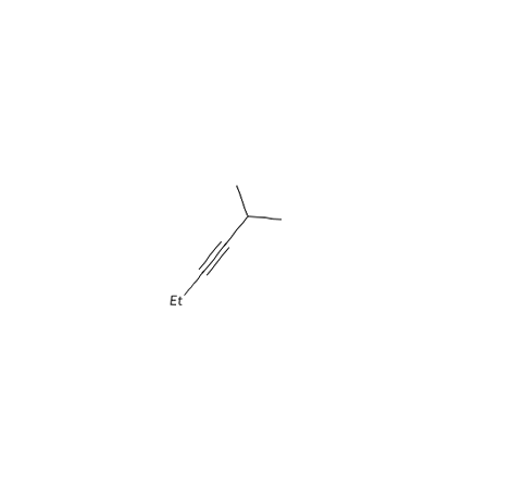 CCC#CC(C)C